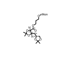 CCCCCCCCCOCCCO[C@H]1O[C@H]([C@H]2COC(C)(C)O2)[C@@H]2OC(C)(C)O[C@H]12